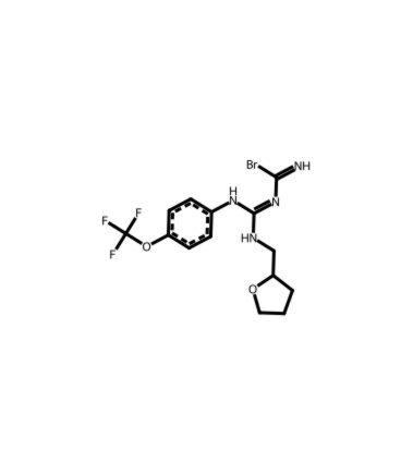 N=C(Br)/N=C(/NCC1CCCO1)Nc1ccc(OC(F)(F)F)cc1